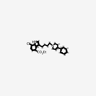 CCOC(=O)c1ccc(Cl)c2[nH]cc(CCCCN3CC=C(c4ccccc4)CC3)c12